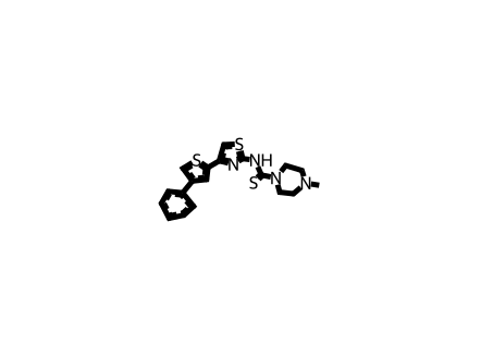 CN1CCN(C(=S)Nc2nc(-c3cc(-c4ccccc4)cs3)cs2)CC1